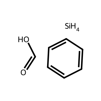 O=CO.[SiH4].c1ccccc1